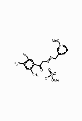 COS(=O)(=O)[O-].CO[n+]1cccc(CN=NCC(=O)c2cc(C(C)=O)c(N)cc2C)c1